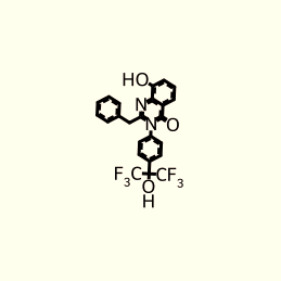 O=c1c2cccc(O)c2nc(Cc2ccccc2)n1-c1ccc(C(O)(C(F)(F)F)C(F)(F)F)cc1